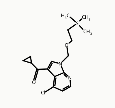 C[Si](C)(C)CCOCn1cc(C(=O)C2CC2)c2c(Cl)ccnc21